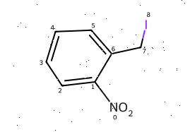 O=[N+]([O-])c1ccccc1[CH]I